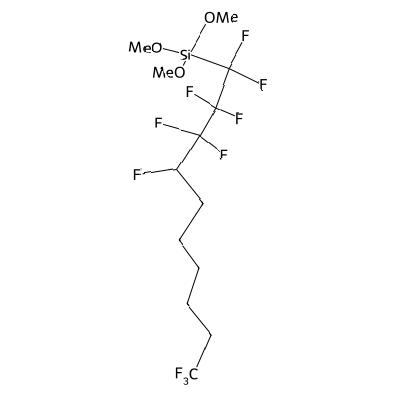 CO[Si](OC)(OC)C(F)(F)C(F)(F)C(F)(F)C(F)CCCCCC(F)(F)F